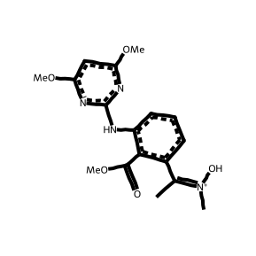 COC(=O)c1c(Nc2nc(OC)cc(OC)n2)cccc1C(C)=[N+](C)O